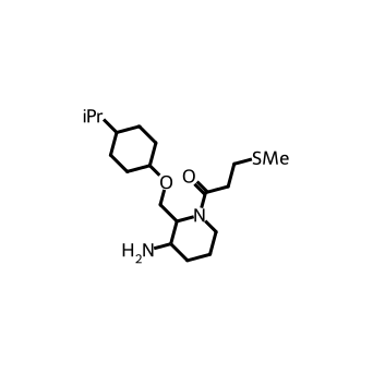 CSCCC(=O)N1CCCC(N)C1COC1CCC(C(C)C)CC1